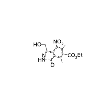 CCOC(=O)c1c(C)c([N+](=O)[O-])c2c(CO)n[nH]c(=O)c2c1C